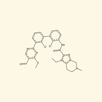 CCn1c(C(=O)Nc2cccc(-c3cccc(-c4ncc(C=O)c(OC)n4)c3Cl)c2Cl)nc2c1CCN(C)C2